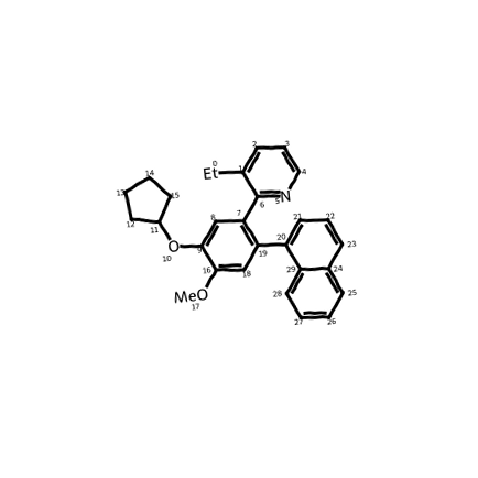 CCc1cccnc1-c1cc(OC2CCCC2)c(OC)cc1-c1cccc2ccccc12